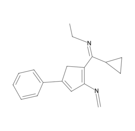 C=NC1=C(/C(=N\CC)C2CC2)CC(c2ccccc2)=C1